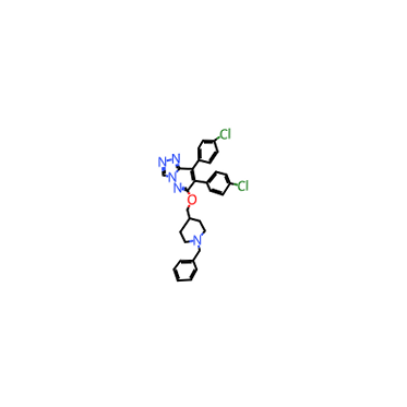 Clc1ccc(-c2c(OCC3CCN(Cc4ccccc4)CC3)nn3cnnc3c2-c2ccc(Cl)cc2)cc1